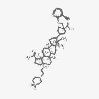 C=C(C)[C@@H]1CC[C@]2(NCCN3CCS(=O)(=O)CC3)CC[C@]3(C)C(CC[C@@H]4[C@@]5(C)CC=C(C6=CC[C@@](COc7ncccc7C#N)(C(=O)O)CC6)C(C)(C)[C@@H]5CC[C@]43C)[C@@]12C